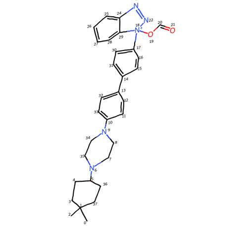 CC1(C)CCC(N2CCN(c3ccc(-c4ccc([N+]5(OC=O)N=Nc6ccccc65)cc4)cc3)CC2)CC1